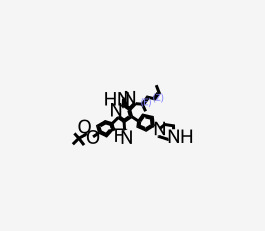 C/C=C\C=C(/C)c1n[nH]c2nc(-c3ccc(OC(=O)C(C)(C)C)cc3F)c(C#N)c(-c3ccc(N4CCNCC4)cc3)c12